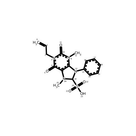 C=CCn1c(=O)c2c(n(C)c1=O)N(c1ccccc1)C(S(=O)(=O)O)N2C